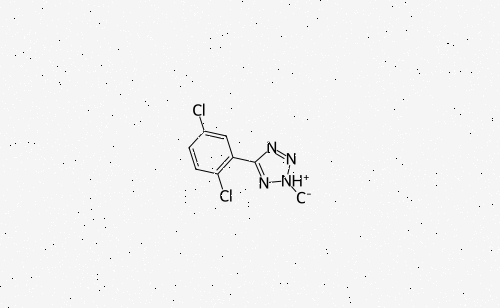 [CH2-][NH+]1N=NC(c2cc(Cl)ccc2Cl)=N1